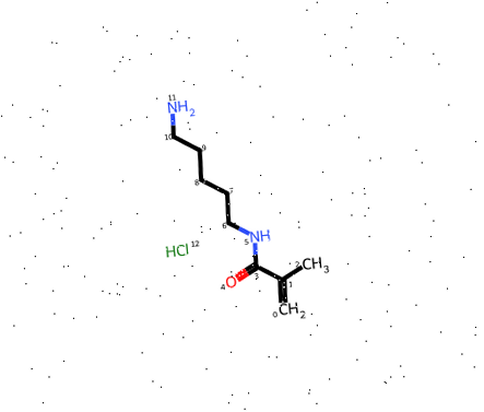 C=C(C)C(=O)NCCCCCN.Cl